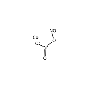 O=NO[N+](=O)[O-].[Co]